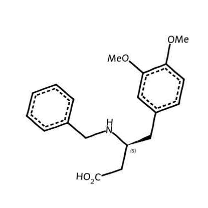 COc1ccc(C[C@@H](CC(=O)O)NCc2ccccc2)cc1OC